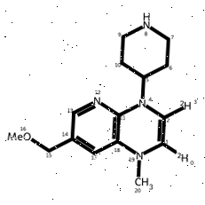 [2H]C1=C([2H])N(C2CCNCC2)c2ncc(COC)cc2N1C